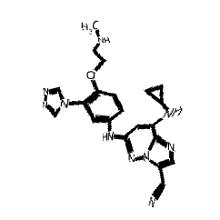 CNCCOc1ccc(Nc2cc(NC3CC3)c3ncc(C#N)n3n2)cc1-n1cnnc1